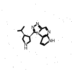 CC(C)[C@@H]1CNC[C@@H]1c1nnc2cnc3[nH]ccc3n12